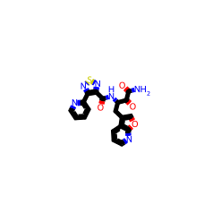 NC(=O)C(=O)C(Cc1coc2ncccc12)NC(=O)c1nsnc1-c1ccccn1